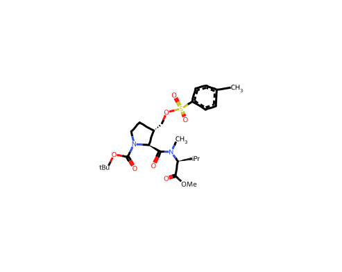 COC(=O)[C@H](C(C)C)N(C)C(=O)[C@@H]1[C@@H](COS(=O)(=O)c2ccc(C)cc2)CCN1C(=O)OC(C)(C)C